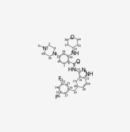 CN1CCN(c2ccc(C(=O)Nc3n[nH]c4c3CC(Cc3cc(F)cc(F)c3)C=C4)c(NC3CCOCC3)c2)CC1